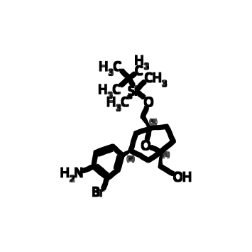 CC(C)(C)[Si](C)(C)OC[C@]12CC[C@](CO)(C[C@@H](c3ccc(N)c(Br)c3)C1)O2